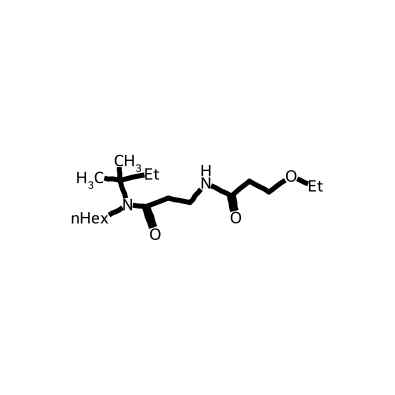 CCCCCCN(C(=O)CCNC(=O)CCOCC)C(C)(C)CC